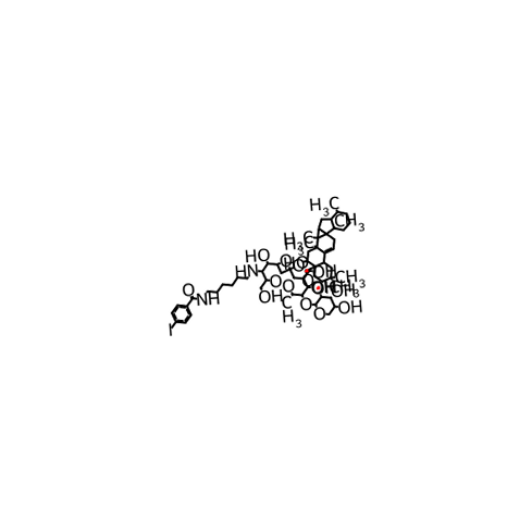 CC1CCCC2(C)C1CC1C3(C)C4(C)CC(O)C5(C(=O)OC6(C7OC(C)C(OC8OCC(O)C(O)C8O)C(O)C7CO)OC7C(O)C(NCCCCCCNC(=O)c8ccc(I)cc8)C(CO)OC76)CCC(C)(C)CC5C4=CCC123